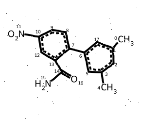 Cc1cc(C)cc(-c2ccc([N+](=O)[O-])cc2C(N)=O)c1